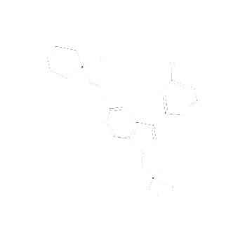 CC(C)(O)Cn1cc(-c2ccnc(N)n2)c2cc(C#CC3(O)CCCCC3)ncc21